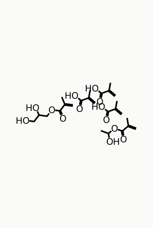 C=C(C)C(=O)O.C=C(C)C(=O)O.C=C(C)C(=O)O.C=C(C)C(=O)OC(C)O.C=C(C)C(=O)OCC(O)CO